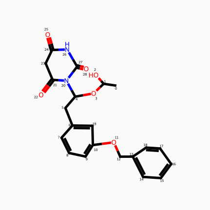 CC(O)OC(Cc1cccc(OCc2ccccc2)c1)N1C(=O)CC(=O)NC1=O